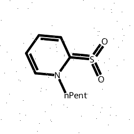 CCCCCn1ccccc1=S(=O)=O